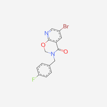 O=C1c2cc(Br)cnc2OCN1Cc1ccc(F)cc1